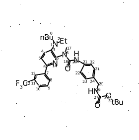 CCCCN(CC)c1ccc(-c2cccc(C(F)(F)F)c2)nc1N(C)C(=O)Nc1ccc(CNC(=O)OC(C)(C)C)cc1